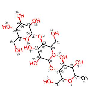 COC1OC(CO)[C@H](OC2OC(CO)[C@H](O[C@@H]3OC(CO)[C@H](O)[C@@H](O)C3O)[C@@H](O)C2O)[C@@H](O)C1O